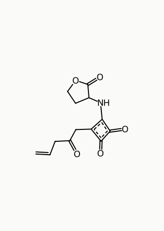 C=CCC(=O)Cc1c(NC2CCOC2=O)c(=O)c1=O